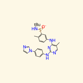 Cc1ccc(Nc2nc(Nc3ccc(-n4ccnc4)cc3)ncc2C)cc1[S+]([O-])NC(C)(C)C